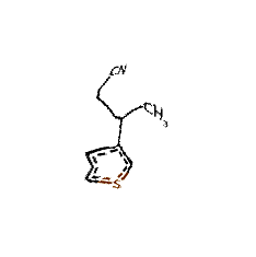 CC(CC#N)c1ccsc1